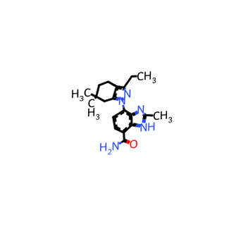 CCc1nn(-c2ccc(C(N)=O)c3[nH]c(C)nc23)c2c1CCC(C)(C)C2